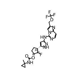 CC1(NC(=O)O[C@@H]2CC[C@H](c3cc(Nc4nccc5nc(COC(F)(F)F)cn45)n[nH]3)[C@H]2F)CC1